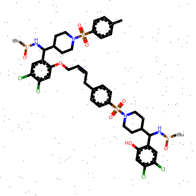 Cc1ccc(S(=O)(=O)N2CCC(C(N[S+]([O-])C(C)(C)C)c3cc(Cl)c(Cl)cc3OC/C=C\Cc3ccc(S(=O)(=O)N4CCC(C(N[S+]([O-])C(C)(C)C)c5cc(Cl)c(Cl)cc5O)CC4)cc3)CC2)cc1